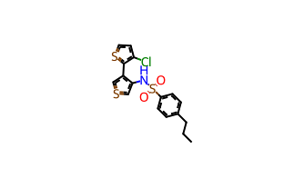 CCCc1ccc(S(=O)(=O)Nc2cscc2-c2sccc2Cl)cc1